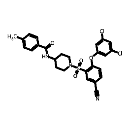 Cc1ccc(C(=O)NC2CCN(S(=O)(=O)c3cc(C#N)ccc3Oc3cc(Cl)cc(Cl)c3)CC2)cc1